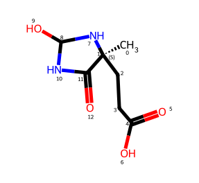 C[C@@]1(CCC(=O)O)NC(O)NC1=O